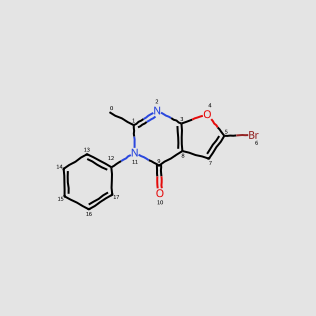 Cc1nc2oc(Br)cc2c(=O)n1-c1ccccc1